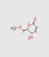 COC[C@H]1OC(=O)C=C[C@@H]1O